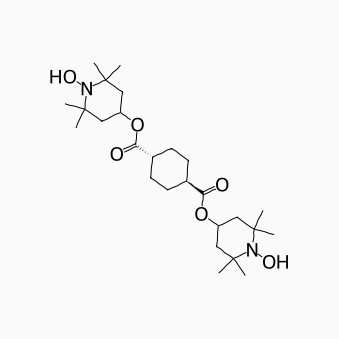 CC1(C)CC(OC(=O)[C@H]2CC[C@H](C(=O)OC3CC(C)(C)N(O)C(C)(C)C3)CC2)CC(C)(C)N1O